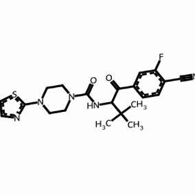 CC(C)(C)C(NC(=O)N1CCN(c2nccs2)CC1)C(=O)c1ccc(C#N)c(F)c1